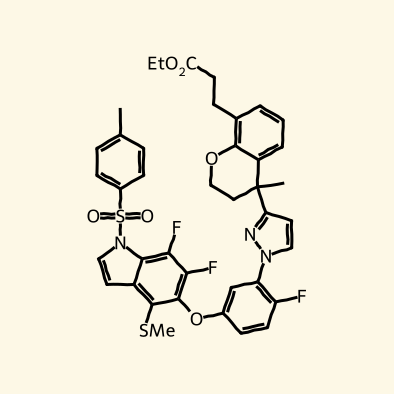 CCOC(=O)CCc1cccc2c1OCCC2(C)c1ccn(-c2cc(Oc3c(F)c(F)c4c(ccn4S(=O)(=O)c4ccc(C)cc4)c3SC)ccc2F)n1